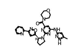 Cc1cc(Nc2cc(C(=O)N3CCOCC3)nc(N3CCC[C@H]3c3cc(-c4ccccn4)no3)n2)n[nH]1